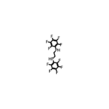 Fc1c(F)c(F)c(PCCPc2c(F)c(F)c(F)c(F)c2F)c(F)c1F